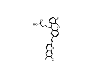 O=C(O)CCSC1c2cc(/C=C/c3ccc4cc(F)c(Cl)cc4n3)ccc2OCc2c(F)cccc21